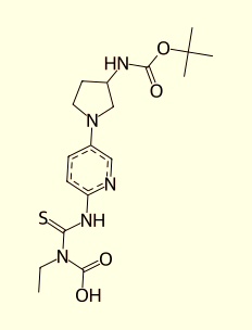 CCN(C(=O)O)C(=S)Nc1ccc(N2CCC(NC(=O)OC(C)(C)C)C2)cn1